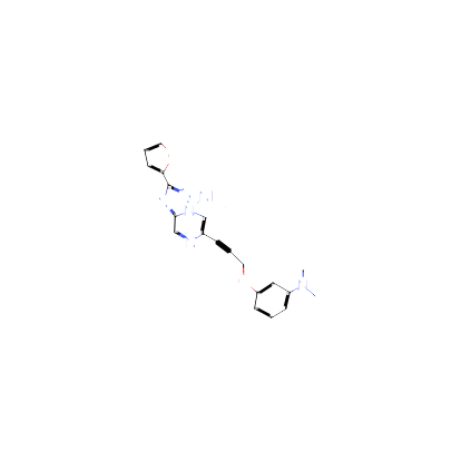 CN(C)c1cccc(OCC#CC2=C[N+]3(N)N=C(c4ccco4)N=C3C=N2)c1